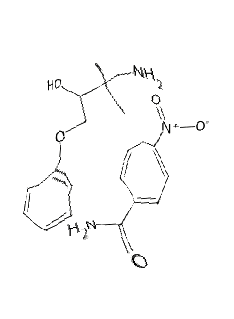 CC(C)(N)C(O)COc1ccccc1.NC(=O)c1ccc([N+](=O)[O-])cc1